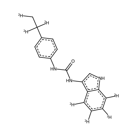 [2H]CC([2H])([2H])c1ccc(NC(=O)Nc2c[nH]c3c([2H])c([2H])c([2H])c([2H])c23)cc1